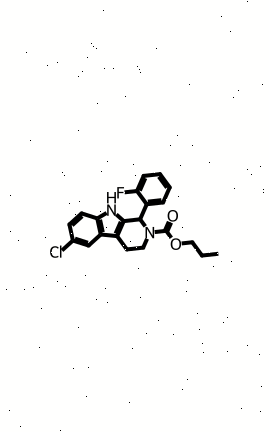 CCCOC(=O)N1CCc2c([nH]c3ccc(Cl)cc23)C1c1ccccc1F